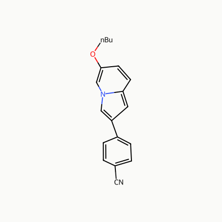 CCCCOc1ccc2cc(-c3ccc(C#N)cc3)cn2c1